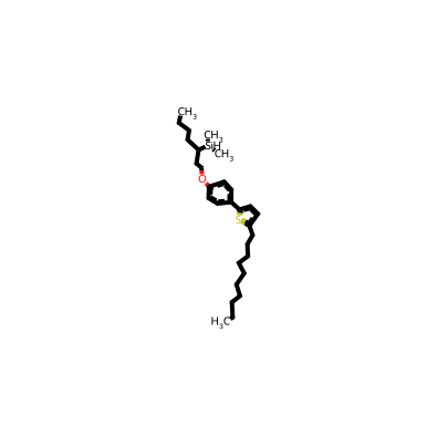 CCCCCCCCCCc1ccc(-c2ccc(OCCC(CCCC)[SiH](C)C)cc2)s1